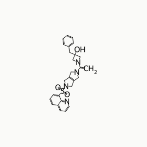 C=C(N1CC2=C(C1)CN(S(=O)(=O)c1cccc3cccnc13)C2)N1CC(O)(Cc2ccccc2)C1